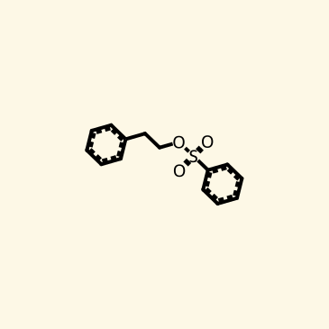 O=S(=O)(OCCc1ccccc1)c1ccccc1